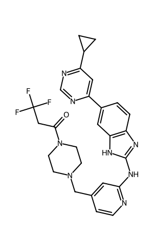 O=C(CC(F)(F)F)N1CCN(Cc2ccnc(Nc3nc4ccc(-c5cc(C6CC6)ncn5)cc4[nH]3)c2)CC1